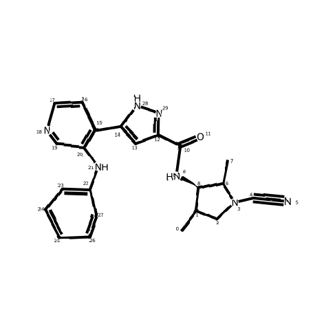 CC1CN(C#N)C(C)[C@@H]1NC(=O)c1cc(-c2ccncc2Nc2ccccc2)[nH]n1